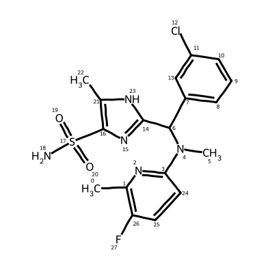 Cc1nc(N(C)C(c2cccc(Cl)c2)c2nc(S(N)(=O)=O)c(C)[nH]2)ccc1F